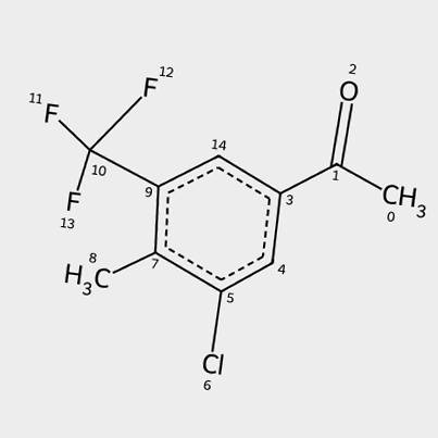 CC(=O)c1cc(Cl)c(C)c(C(F)(F)F)c1